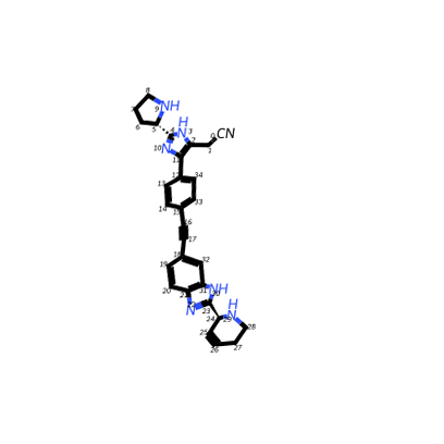 N#CCc1[nH]c([C@@H]2CCCN2)nc1-c1ccc(C#Cc2ccc3nc([C@@H]4C#CCCN4)[nH]c3c2)cc1